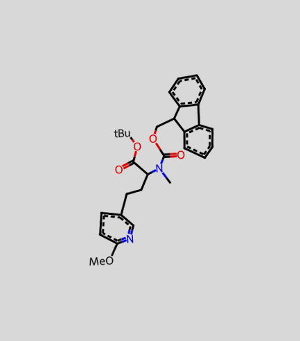 COc1ccc(CCC(C(=O)OC(C)(C)C)N(C)C(=O)OCC2c3ccccc3-c3ccccc32)cn1